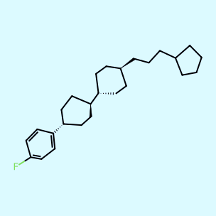 Fc1ccc([C@H]2CC[C@H]([C@H]3CC[C@H](CCCC4CCCC4)CC3)CC2)cc1